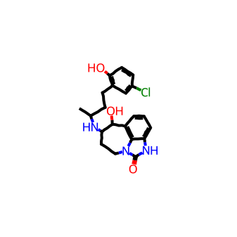 CC(CCc1cc(Cl)ccc1O)NC1CCn2c(=O)[nH]c3cccc(c32)C1O